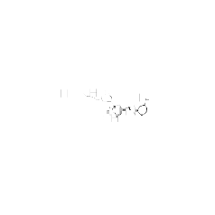 CCCCCCCC(CC)C1CC(C(=O)Nc2cccc(C(F)(F)F)c2)CCN1CC